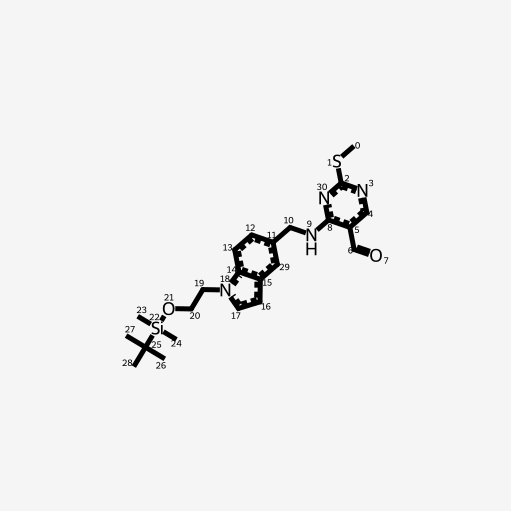 CSc1ncc(C=O)c(NCc2ccc3c(ccn3CCO[Si](C)(C)C(C)(C)C)c2)n1